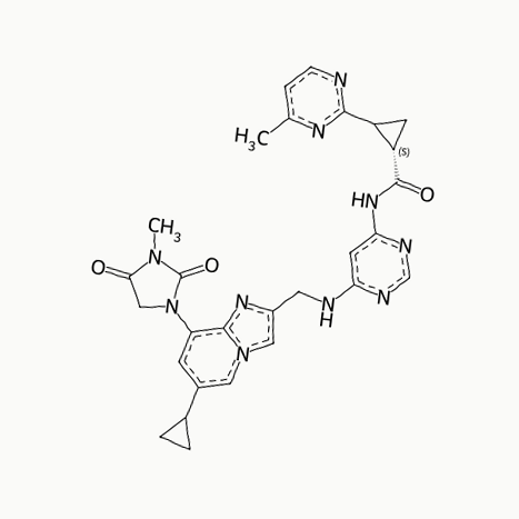 Cc1ccnc(C2C[C@@H]2C(=O)Nc2cc(NCc3cn4cc(C5CC5)cc(N5CC(=O)N(C)C5=O)c4n3)ncn2)n1